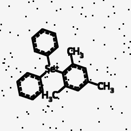 Cc1cc(C)c([Se+](c2ccccc2)c2ccccc2)c(C)c1